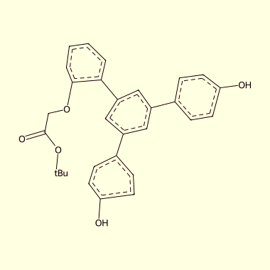 CC(C)(C)OC(=O)COc1ccccc1-c1cc(-c2ccc(O)cc2)cc(-c2ccc(O)cc2)c1